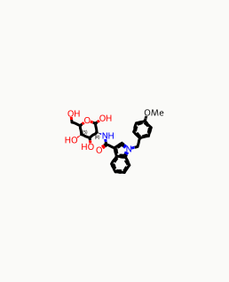 COc1ccc(Cn2cc(C(=O)N[C@H]3C(O)OC(CO)[C@@H](O)C3O)c3ccccc32)cc1